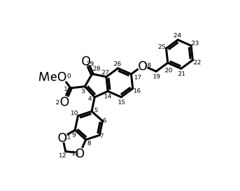 COC(=O)C1=C(c2ccc3c(c2)OCO3)c2ccc(OCc3ccccc3)cc2C1=O